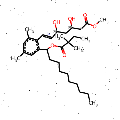 CCCCCCCCCC(OC(=O)C(C)(C)CC)c1cc(C)cc(C)c1/C=C/[C@@H](O)C[C@@H](O)CC(=O)OC